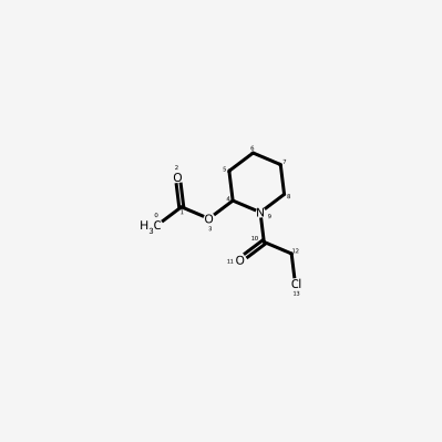 CC(=O)OC1CCCCN1C(=O)CCl